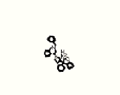 NC(=O)C(c1ccccc1)(c1ccccc1)C1CCN(CCN(Cc2ccccc2)Cc2ccccc2)C1